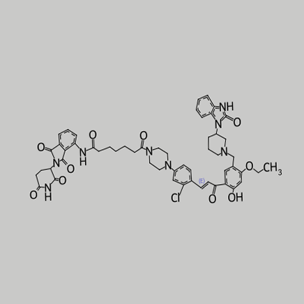 CCOc1cc(O)c(C(=O)/C=C/c2ccc(N3CCN(C(=O)CCCCCC(=O)Nc4cccc5c4C(=O)N(C4CCC(=O)NC4=O)C5=O)CC3)cc2Cl)cc1CN1CCCC(n2c(=O)[nH]c3ccccc32)C1